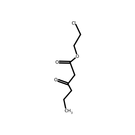 CCCC(=O)CC(=O)OCCCl